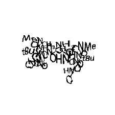 CN[C@@H](C)C(=O)N[C@H](C(=O)N1C[C@@H](NC(=O)c2cc(N)cc(C(=O)N[C@H]3C[C@@H](C(=O)NCc4ccccc4)N(C(=O)[C@@H](NC(=O)[C@H](C)NC)C(C)(C)C)C3)c2)C[C@H]1C(=O)NCc1ccccc1)C(C)(C)C